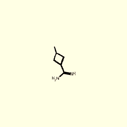 CC1CC(C(=N)N)C1